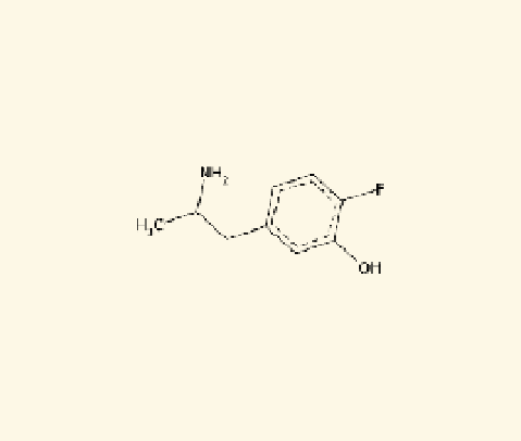 CC(N)Cc1ccc(F)c(O)c1